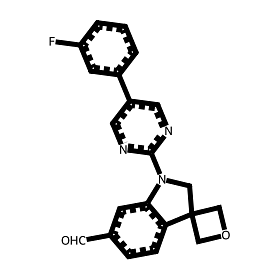 O=Cc1ccc2c(c1)N(c1ncc(-c3cccc(F)c3)cn1)CC21COC1